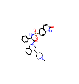 CN1CCC(CCN(Cc2ccccc2)C(=O)C(NS(=O)(=O)c2ccc3[nH]c(=O)ccc3c2)c2ccccc2)CC1